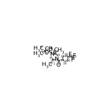 CC[C@@H]1CN(C(=O)OC(C)(C)C)[C@@H](C)CN1C(=O)c1ccc(C(F)(F)F)cc1